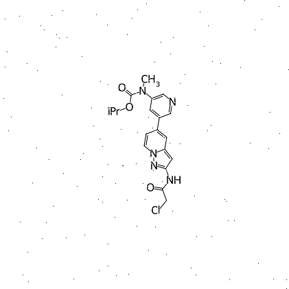 CC(C)OC(=O)N(C)c1cncc(-c2ccn3nc(NC(=O)CCl)cc3c2)c1